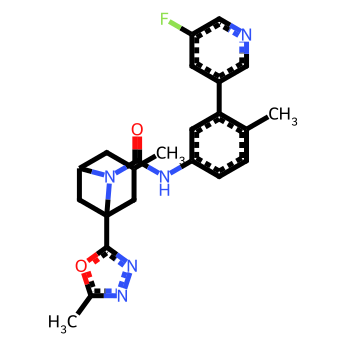 Cc1nnc(C23CC(C)CC(C2)N3C(=O)Nc2ccc(C)c(-c3cncc(F)c3)c2)o1